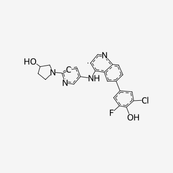 Oc1c(F)cc(-c2ccc3nc[c]c(Nc4ccc(N5CCC(O)C5)nc4)c3c2)cc1Cl